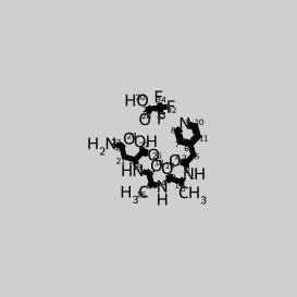 CC(NC(=O)Cc1ccncc1)C(=O)NC(C)C(=O)NC(CC(N)=O)C(=O)O.O=C(O)C(F)(F)F